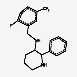 Fc1ccc(C(F)(F)F)cc1CNC1CCCNC1c1ccccc1